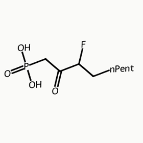 CCCCCCC(F)C(=O)CP(=O)(O)O